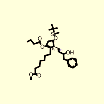 CCCC(=O)OC1=C(CCCCCCC(=O)OC)[C@H](/C=C/C(O)Cc2ccccc2)[C@H](O[Si](C)(C)C(C)(C)C)C1